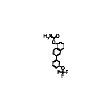 NC(=O)OC1CCCc2cc(-c3cccc(OC(F)(F)F)c3)ccc21